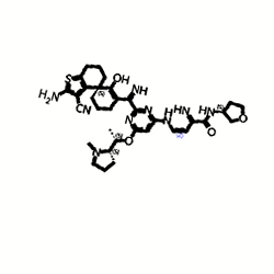 C[C@H](Oc1cc(N/C=C\C(=N)C(=O)N[C@H]2CCOC2)nc(C(=N)C2=C(O)[C@@]3(CCC2)CCCc2sc(N)c(C#N)c23)n1)[C@@H]1CCCN1C